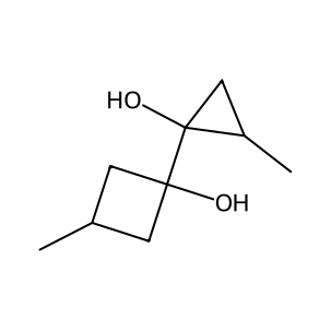 CC1CC(O)(C2(O)CC2C)C1